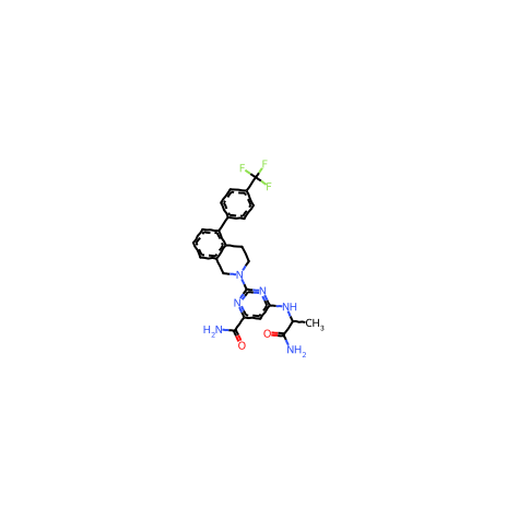 CC(Nc1cc(C(N)=O)nc(N2CCc3c(cccc3-c3ccc(C(F)(F)F)cc3)C2)n1)C(N)=O